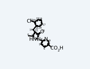 Cc1[nH]n(-c2ccc(C(=O)O)cn2)c(=O)c1Cc1ccccc1Cl